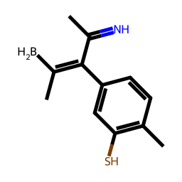 B/C(C)=C(\C(C)=N)c1ccc(C)c(S)c1